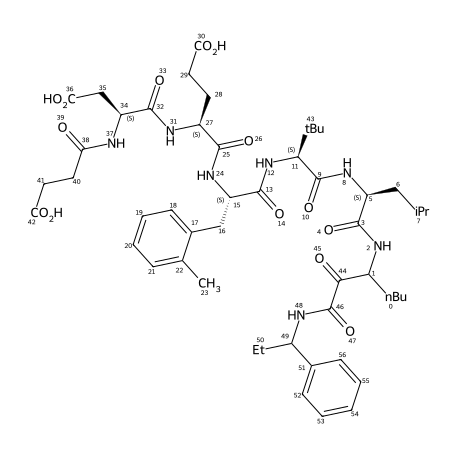 CCCCC(NC(=O)[C@H](CC(C)C)NC(=O)[C@@H](NC(=O)[C@H](Cc1ccccc1C)NC(=O)[C@H](CCC(=O)O)NC(=O)[C@H](CC(=O)O)NC(=O)CCC(=O)O)C(C)(C)C)C(=O)C(=O)NC(CC)c1ccccc1